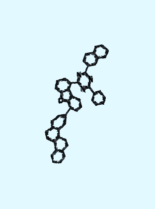 c1ccc(-c2nc(-c3ccc4ccccc4c3)nc(-c3cccc4oc5c(-c6ccc7ccc8c9ccccc9ccc8c7c6)cccc5c34)n2)cc1